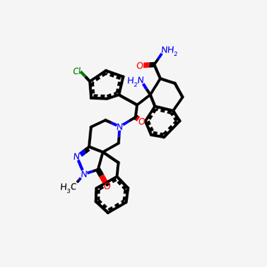 CN1N=C2CCN(C(=O)C(c3ccc(Cl)cc3)C3(N)c4ccccc4CCC3C(N)=O)CC2(Cc2ccccc2)C1=O